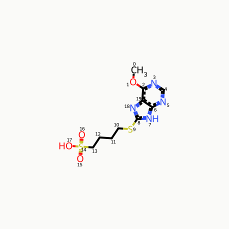 COc1ncnc2[nH]c(SCCCCS(=O)(=O)O)nc12